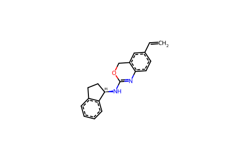 C=Cc1ccc2c(c1)COC(N[C@@H]1CCc3ccccc31)=N2